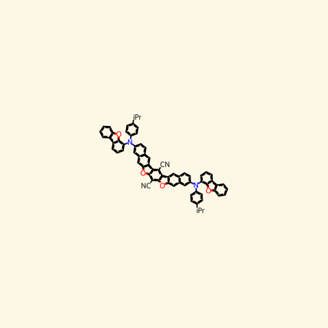 CC(C)c1ccc(N(c2ccc3cc4c(cc3c2)oc2c(C#N)c3oc5cc6cc(N(c7ccc(C(C)C)cc7)c7cccc8c7oc7ccccc78)ccc6cc5c3c(C#N)c24)c2cccc3c2oc2ccccc23)cc1